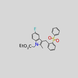 CCOC(=O)Cn1c(C)c(Cc2ccccc2S(=O)(=O)c2ccccc2)c2cc(F)ccc21